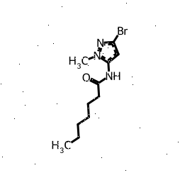 CCCCCCC(=O)Nc1cc(Br)nn1C